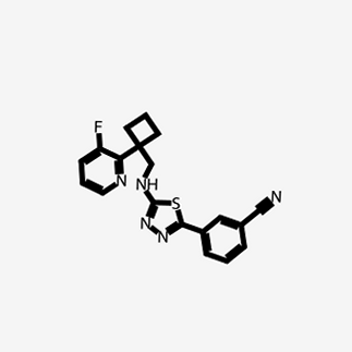 N#Cc1cccc(-c2nnc(NCC3(c4ncccc4F)CCC3)s2)c1